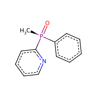 C[P@@](=O)(c1ccccc1)c1ccccn1